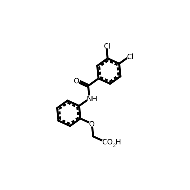 O=C(O)COc1ccccc1NC(=O)c1ccc(Cl)c(Cl)c1